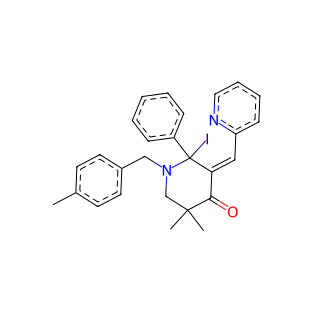 Cc1ccc(CN2CC(C)(C)C(=O)C(=Cc3ccccn3)C2(I)c2ccccc2)cc1